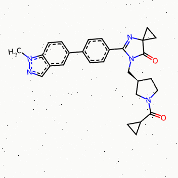 Cn1ncc2cc(-c3ccc(C4=NC5(CC5)C(=O)N4C[C@H]4CCN(C(=O)C5CC5)C4)cc3)ccc21